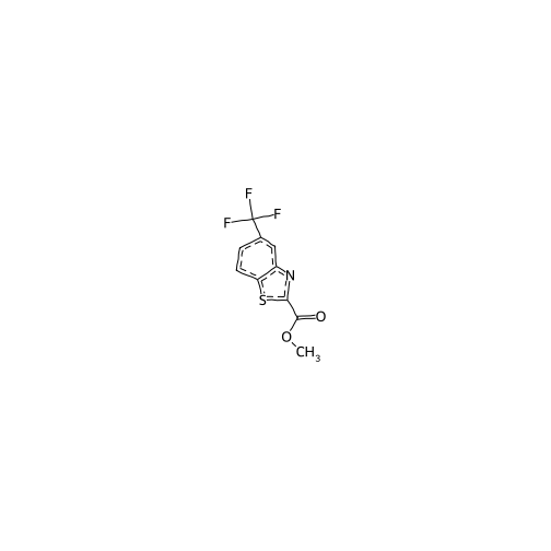 COC(=O)c1nc2cc(C(F)(F)F)ccc2s1